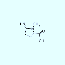 CN1C(=N)CCC1C(=O)O